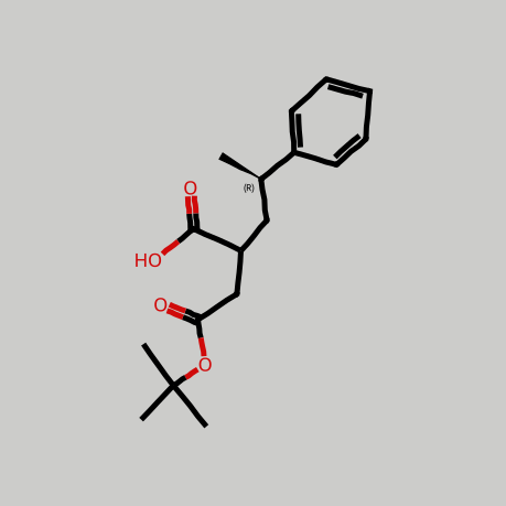 C[C@H](CC(CC(=O)OC(C)(C)C)C(=O)O)c1ccccc1